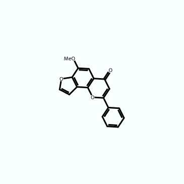 COc1cc2c(=O)cc(-c3ccccc3)oc2c2ccoc12